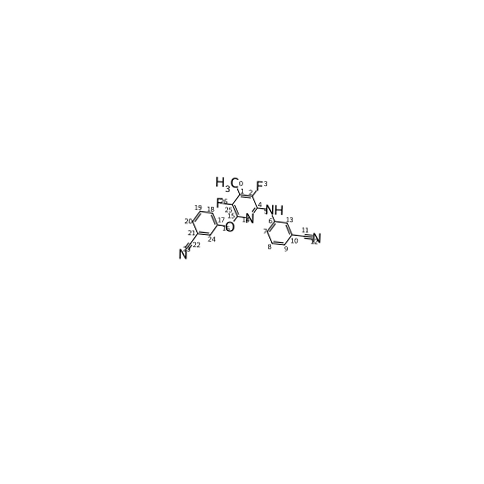 Cc1c(F)c(Nc2cccc(C#N)c2)nc(Oc2cccc(C#N)c2)c1F